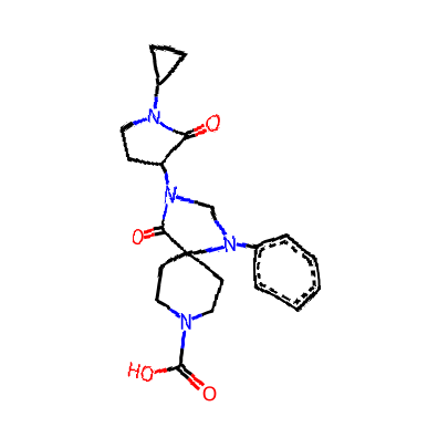 O=C(O)N1CCC2(CC1)C(=O)N(C1CCN(C3CC3)C1=O)CN2c1ccccc1